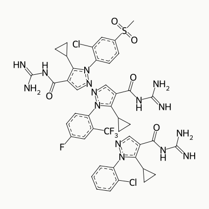 CS(=O)(=O)c1ccc(-n2ncc(C(=O)NC(=N)N)c2C2CC2)c(Cl)c1.N=C(N)NC(=O)c1cnn(-c2ccc(F)cc2C(F)(F)F)c1C1CC1.N=C(N)NC(=O)c1cnn(-c2ccccc2Cl)c1C1CC1